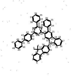 CC1(C)c2ccccc2-c2ccc(-n3c4ccccc4c4cc(-c5ccccc5)c(-c5nc(-c6ccccc6)nc(-c6ccc(-c7ccccc7)cc6)n5)cc43)cc21